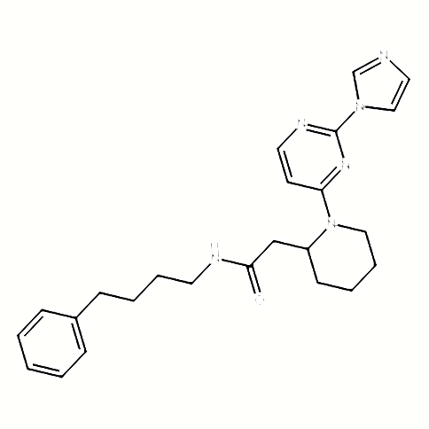 O=C(CC1CCCCN1c1ccnc(-n2ccnc2)n1)NCCCCc1ccccc1